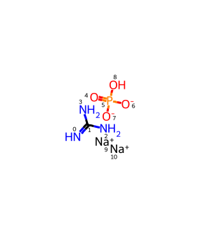 N=C(N)N.O=P([O-])([O-])O.[Na+].[Na+]